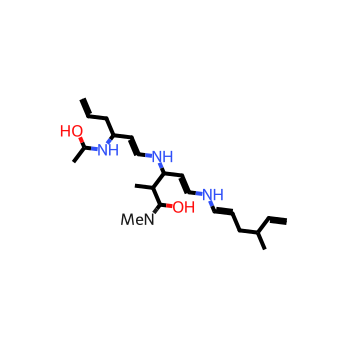 C=CCC(/C=C/NC(/C=C/N/C=C/CC(C)C=C)C(C)C(O)NC)NC(C)O